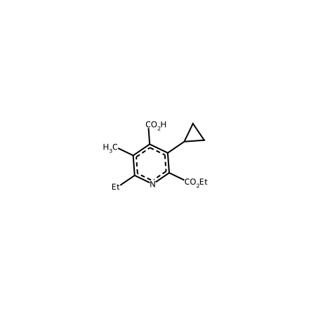 CCOC(=O)c1nc(CC)c(C)c(C(=O)O)c1C1CC1